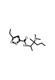 CCCC(C)(C(C)NC(=O)c1cc(CC)on1)N(C)C